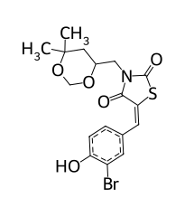 CC1(C)CC(CN2C(=O)SC(=Cc3ccc(O)c(Br)c3)C2=O)OCO1